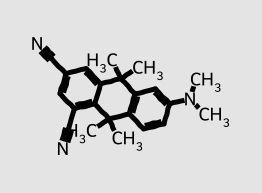 CN(C)c1ccc2c(c1)C(C)(C)c1cc(C#N)cc(C#N)c1C2(C)C